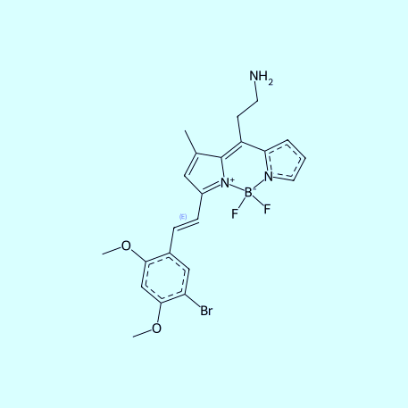 COc1cc(OC)c(/C=C/C2=[N+]3C(=C(CCN)c4cccn4[B-]3(F)F)C(C)=C2)cc1Br